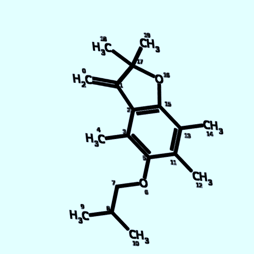 C=C1c2c(C)c(OCC(C)C)c(C)c(C)c2OC1(C)C